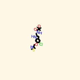 CC1(C(=O)NCc2cc3cc(Cl)c(OCc4cscn4)cc3[nH]2)COC1